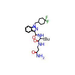 CC(C)(C)C(NC(=O)c1nn(CC2CCC(F)(F)CC2)c2ccccc12)C(=O)NCCC(N)=O